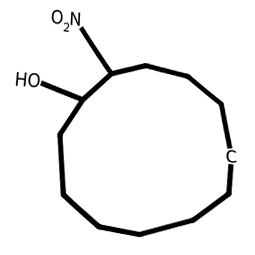 O=[N+]([O-])C1CCCCCCCCCCC1O